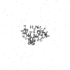 C=NN(C)/C(=C(\C)CCN)c1cccc(N(C)C2=NS(=O)(=O)N=C2N(C)[C@H](CC)c2ccc(C)o2)c1O